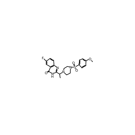 COc1ccc(S(=O)(=O)N2CCN(C(C)c3nc4ccc(F)cc4c(=O)[nH]3)CC2)cc1